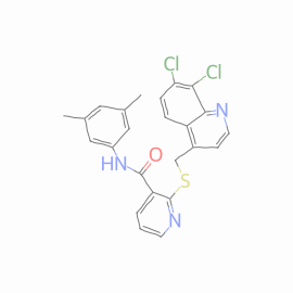 Cc1cc(C)cc(NC(=O)c2cccnc2SCc2ccnc3c(Cl)c(Cl)ccc23)c1